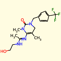 CC1=C(/N=C(\C)NCCO)N(C)C(=O)N(Cc2ccc(C(F)(F)F)cc2)C1